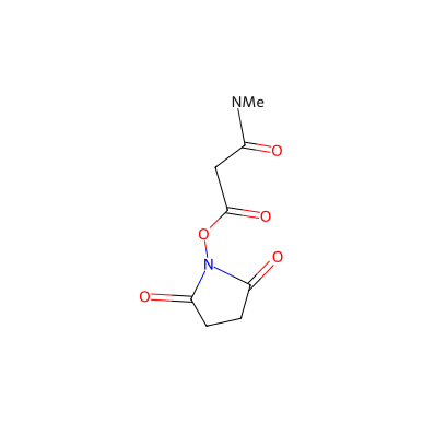 CNC(=O)CC(=O)ON1C(=O)CCC1=O